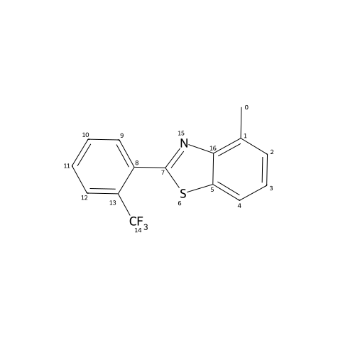 Cc1cccc2sc(-c3ccccc3C(F)(F)F)nc12